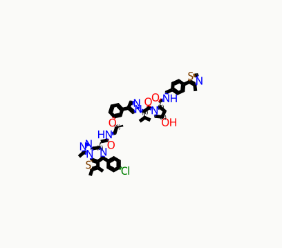 Cc1ncsc1-c1ccc(CNC(=O)[C@@H]2C[C@@H](O)CN2C(=O)[C@H](C(C)C)n2cc(-c3cccc(O[C@@H](C)CNC(=O)C[C@@H]4N=C(c5ccc(Cl)cc5)c5c(sc(C)c5C)-n5c(C)nnc54)c3)cn2)cc1